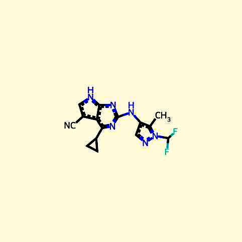 Cc1c(Nc2nc(C3CC3)c3c(C#N)c[nH]c3n2)cnn1C(F)F